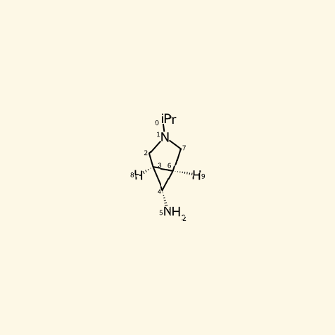 CC(C)N1C[C@@H]2[C@@H](N)[C@@H]2C1